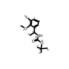 COc1c(F)cccc1C(C)NC(=O)OC(C)(C)C